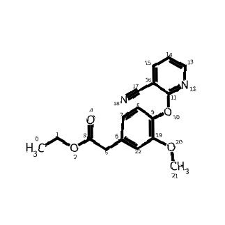 CCOC(=O)Cc1ccc(Oc2ncccc2C#N)c(OC)c1